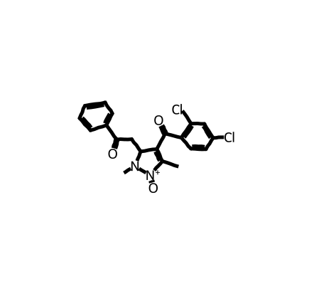 CC1=C(C(=O)c2ccc(Cl)cc2Cl)C(CC(=O)c2ccccc2)N(C)[N+]1=O